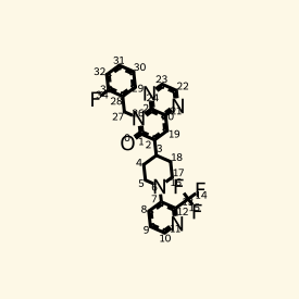 O=c1c(C2CCN(c3cccnc3C(F)(F)F)CC2)cc2nccnc2n1Cc1ccccc1F